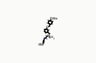 COc1ccc(COc2cccc(CN(C)C/C=C/C#CC(C)(C)C)c2)cc1